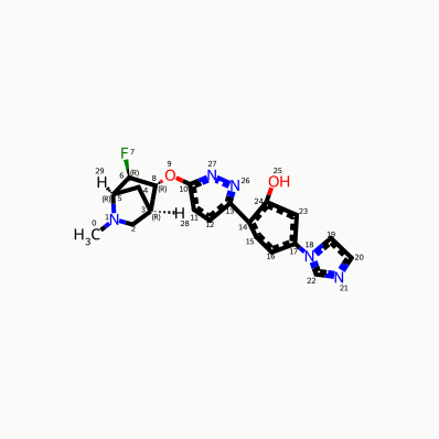 CN1C[C@H]2C[C@@H]1[C@@H](F)[C@@H]2Oc1ccc(-c2ccc(-n3ccnc3)cc2O)nn1